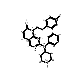 Cc1ccc(CCn2c(=O)ccc3cnc(N(c4ccccc4)C4CCNCC4)nc32)cc1